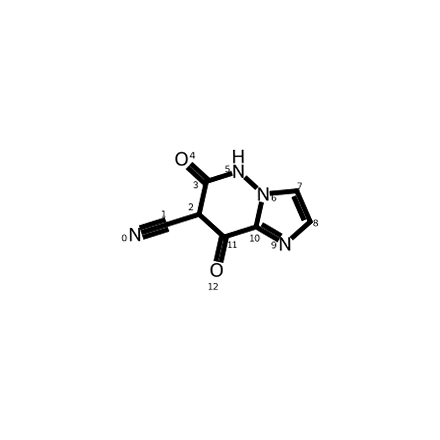 N#CC1C(=O)Nn2ccnc2C1=O